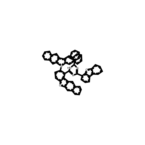 c1ccc(C2N=C(c3cccc4c3oc3ccccc34)N=C(c3c(-n4c5cc6ccccc6cc5c5cc6ccccc6cc54)ccc4oc5cc6ccccc6cc5c34)N2)cc1